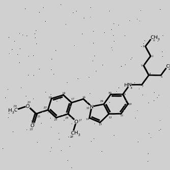 CCCCC(CC)CNc1ccc2ccn(Cc3ccc(C(=O)OC)cc3OC)c2c1